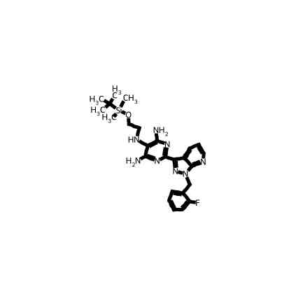 CC(C)(C)[Si](C)(C)OCCNc1c(N)nc(-c2nn(Cc3ccccc3F)c3ncccc23)nc1N